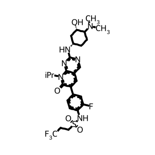 CC(C)n1c(=O)c(-c2ccc(NS(=O)(=O)CCC(F)(F)F)c(F)c2)cc2cnc(N[C@H]3CCC(N(C)C)[C@@H](O)C3)nc21